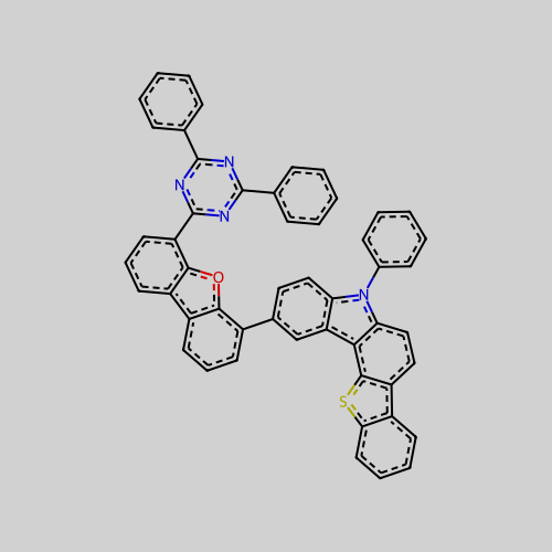 c1ccc(-c2nc(-c3ccccc3)nc(-c3cccc4c3oc3c(-c5ccc6c(c5)c5c7sc8ccccc8c7ccc5n6-c5ccccc5)cccc34)n2)cc1